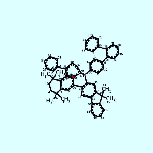 CC1(C)CCC(C)(C)c2cc(-c3cc4c(cc3N(c3ccc(-c5ccccc5)cc3)c3ccc(-c5ccccc5-c5ccccc5)cc3)C(C)(C)c3ccccc3-4)ccc21